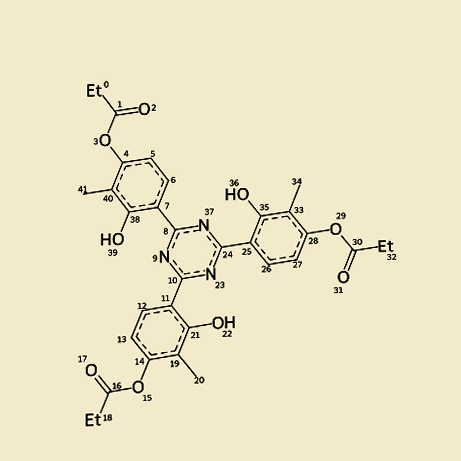 CCC(=O)Oc1ccc(-c2nc(-c3ccc(OC(=O)CC)c(C)c3O)nc(-c3ccc(OC(=O)CC)c(C)c3O)n2)c(O)c1C